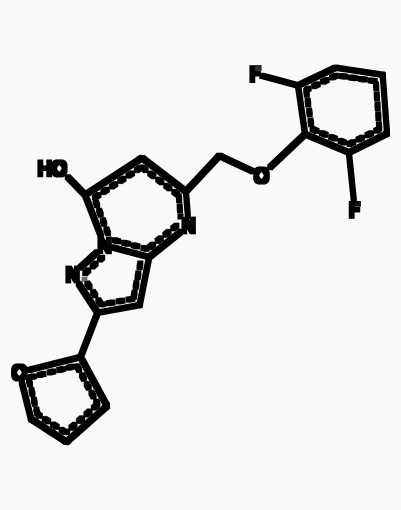 Oc1cc(COc2c(F)cccc2F)nc2cc(-c3ccco3)nn12